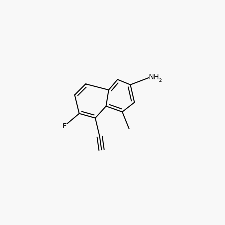 C#Cc1c(F)ccc2cc(N)cc(C)c12